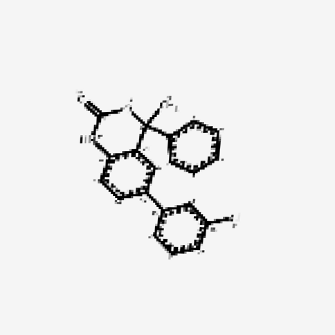 CC1(c2ccccc2)OC(=O)Nc2ccc(-c3cccc(Cl)c3)cc21